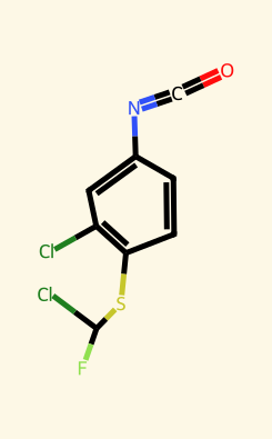 O=C=Nc1ccc(SC(F)Cl)c(Cl)c1